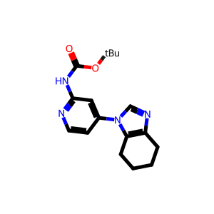 CC(C)(C)OC(=O)Nc1cc(-n2cnc3c2CCCC3)ccn1